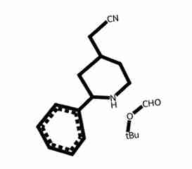 CC(C)(C)OC=O.N#CCC1CCNC(c2ccccc2)C1